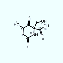 O=C1CC(O)C(=O)[C@](CO)(C(=O)O)N1